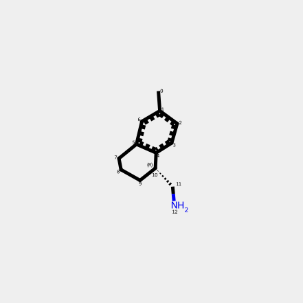 Cc1ccc2c(c1)CCC[C@H]2CN